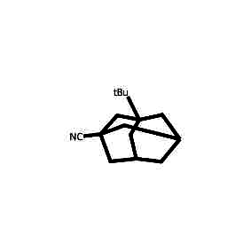 CC(C)(C)C12CC3CC(CC(C#N)(C3)C1)C2